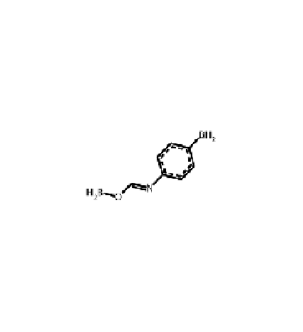 BOC=Nc1ccc(B)cc1